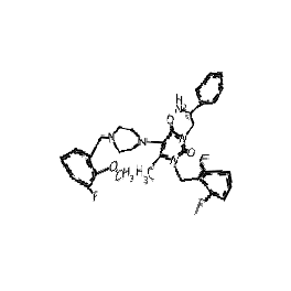 COc1c(F)cccc1CN1CCN(c2c(C)n(Cc3c(F)cccc3F)c(=O)n(C[C@@H](N)c3ccccc3)c2=O)CC1